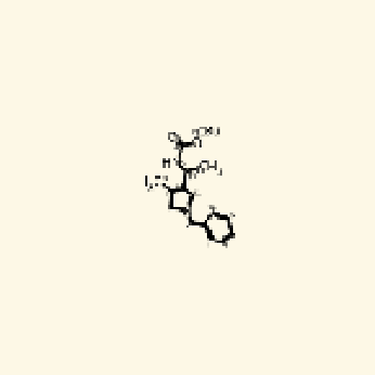 CC1CN(Cc2ccccc2)CC1C(C)NC(=O)OC(C)(C)C